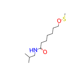 CSOCCCCCCC(=O)NCC(C)C